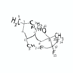 CC(C)CC(C)C(C)CC(C)(O)C(F)(F)F